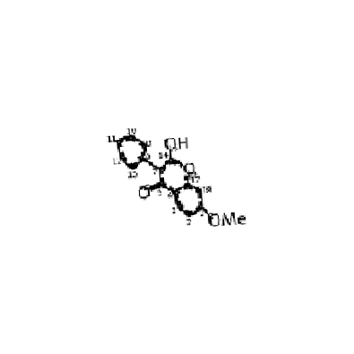 COc1ccc2c(=O)c(-c3ccccc3)c(O)oc2c1